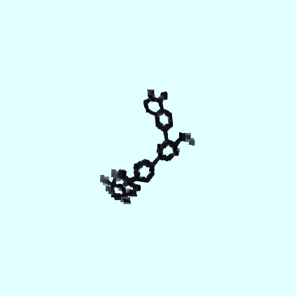 [2H]C([2H])([2H])N(C([2H])([2H])[2H])S(=O)(=O)c1ccc(-c2cnc(N)c(-c3ccc4c(c3)CCNC4=O)n2)cc1